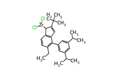 CCc1ccc2c(c1-c1cc(C(C)C)cc(C(C)C)c1)C=C(C(C)(C)C)[CH]2[Zr]([Cl])[Cl]